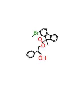 CBr.CC1(C(=O)OCC(=CO)c2ccccc2)c2ccccc2-c2ccccc21